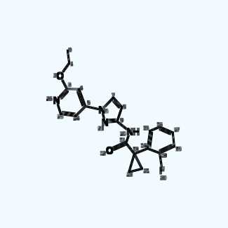 CCOc1cc(-n2ccc(NC(=O)C3(c4ccccc4F)CC3)n2)ccn1